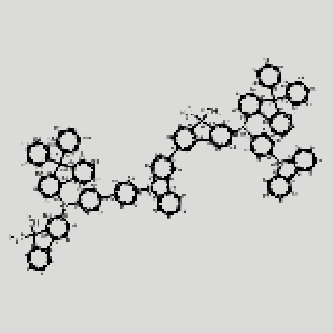 CC1(C)c2ccccc2-c2ccc(N(c3ccc(-c4ccc(-n5c6ccccc6c6cc(-c7ccc8c(c7)-c7ccc(N(c9ccc(-n%10c%11ccccc%11c%11ccccc%11%10)cc9)c9cccc%10c9-c9ccccc9C%10(c9ccccc9)c9ccccc9)cc7C8(C)C)ccc65)cc4)cc3)c3cccc4c3-c3ccccc3C4(c3ccccc3)c3ccccc3)cc21